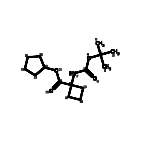 CC(C)(C)OC(=O)NC1(C(=O)OC2CCCC2)CCC1